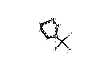 FC(F)(F)[n+]1cccnn1